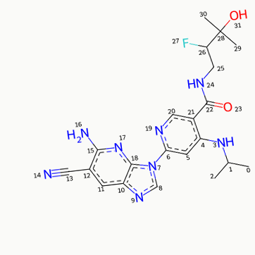 CC(C)Nc1cc(-n2cnc3cc(C#N)c(N)nc32)ncc1C(=O)NCC(F)C(C)(C)O